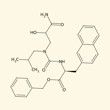 CC(C)CN(CC(O)C(N)=O)C(=O)N[C@@H](Cc1ccc2ccccc2c1)C(=O)OCc1ccccc1